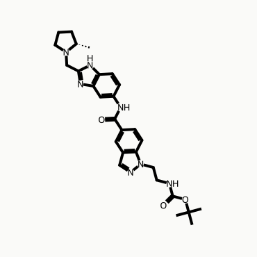 C[C@H]1CCCN1Cc1nc2cc(NC(=O)c3ccc4c(cnn4CCNC(=O)OC(C)(C)C)c3)ccc2[nH]1